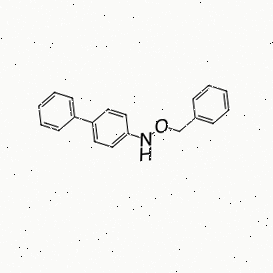 c1ccc(CONc2ccc(-c3ccccc3)cc2)cc1